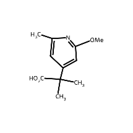 COc1cc(C(C)(C)C(=O)O)cc(C)n1